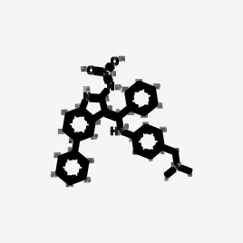 CN(C)Cc1ccc(NC(=C2C(N=S(=O)=O)=Nc3ccc(-c4ccccc4)cc32)c2ccccc2)cc1